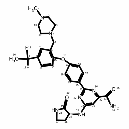 CN1CCN(Cc2cc(C(C)(F)F)ccc2Oc2ccc(-c3nc(N[C@H]4CCNC4=O)cc(C(N)=O)n3)cc2)CC1